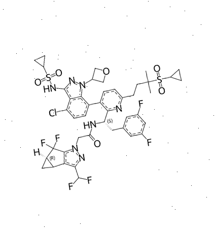 CC(C)(CCc1ccc(-c2ccc(Cl)c3c(NS(=O)(=O)C4CC4)nn(C4COC4)c23)c([C@H](Cc2cc(F)cc(F)c2)NC(=O)Cn2nc(C(F)F)c3c2C(F)(F)[C@@H]2CC32)n1)S(=O)(=O)C1CC1